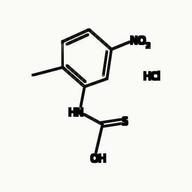 Cc1ccc([N+](=O)[O-])cc1NC(O)=S.Cl